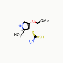 COCO[C@H]1CN[C@H](C(=O)O)C1.NC(=S)S